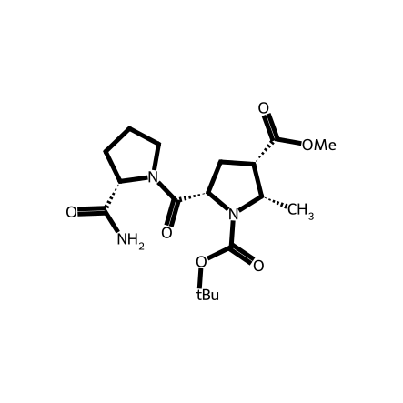 COC(=O)[C@H]1C[C@@H](C(=O)N2CCC[C@H]2C(N)=O)N(C(=O)OC(C)(C)C)[C@H]1C